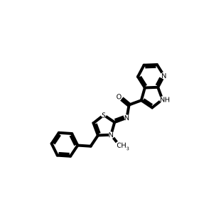 Cn1c(Cc2ccccc2)cs/c1=N\C(=O)c1c[nH]c2ncccc12